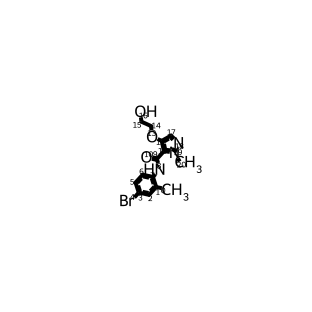 Cc1cc(Br)ccc1NC(=O)c1c(OCCO)cnn1C